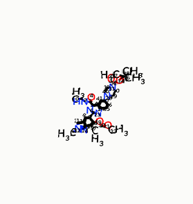 CCNC(=O)c1nc(-c2cc3cn(C)nc3c(C)c2OCOC)nc2ccc(N3CCN(C(=O)OC(C)(C)C)CC3)cc12